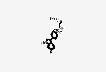 CCOC(=O)CCNS(=O)(=O)c1ccc(-c2c[nH]c3cc(F)ccc23)cc1